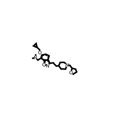 CN(C)Cc1c(OCC2CC2)ccc2c(CCC3CCN(CC4CCCO4)CC3)noc12